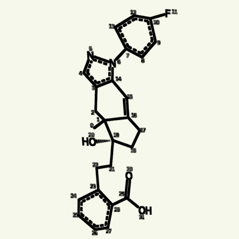 CC12Cc3cnn(-c4ccc(F)cc4)c3C=C1CC[C@@]2(O)CCc1ccccc1C(=O)O